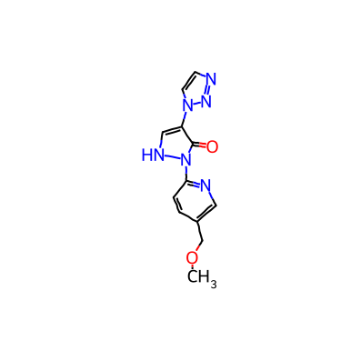 COCc1ccc(-n2[nH]cc(-n3ccnn3)c2=O)nc1